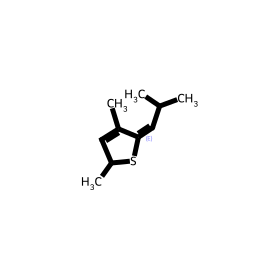 CC1=CC(C)S/C1=C/C(C)C